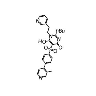 CCCCc1nc(=O)c(S(=O)(=O)c2ccc(-c3ccncc3C)cc2)c(O)n1CCc1cccnc1